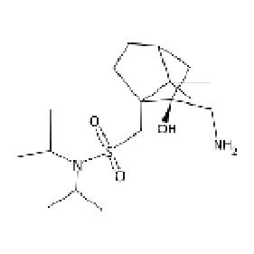 CC(C)N(C(C)C)S(=O)(=O)CC12CCC(C[C@]1(O)CN)C2(C)C